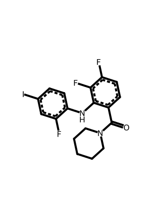 O=C(c1ccc(F)c(F)c1Nc1ccc(I)cc1F)N1CCCCC1